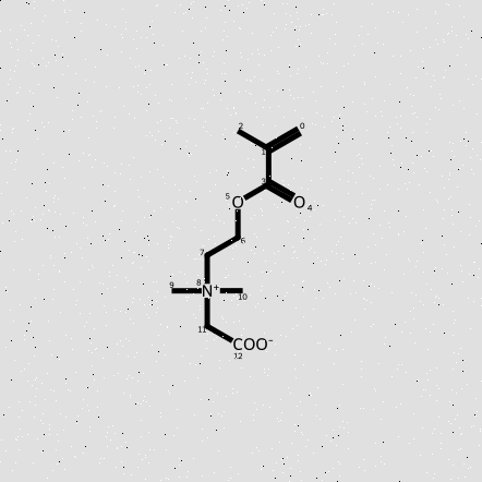 C=C(C)C(=O)OCC[N+](C)(C)CC(=O)[O-]